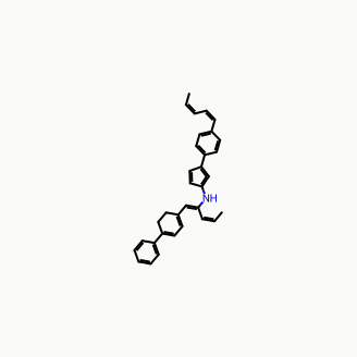 C/C=C\C=C/c1ccc(C2=C=C(NC(/C=C\C)=C/C3=CC=C(c4ccccc4)CC3)C=C2)cc1